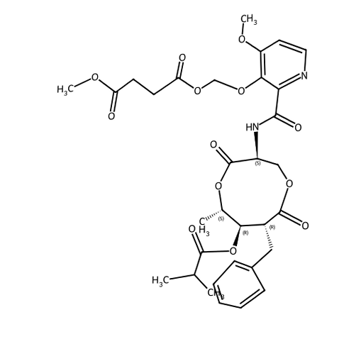 COC(=O)CCC(=O)OCOc1c(OC)ccnc1C(=O)N[C@H]1COC(=O)[C@H](Cc2ccccc2)[C@@H](OC(=O)C(C)C)[C@H](C)OC1=O